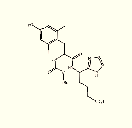 Cc1cc(O)cc(C)c1CC(NC(=O)OC(C)(C)C)C(=O)NC(CCCC(=O)O)c1ncc[nH]1